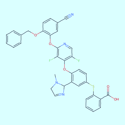 CN1CC=NC1c1cc(Sc2ccccc2C(=O)O)ccc1Oc1c(F)cnc(Oc2cc(C#N)ccc2OCc2ccccc2)c1F